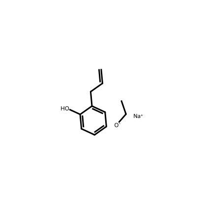 C=CCc1ccccc1O.CC[O-].[Na+]